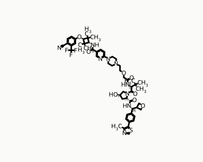 Cc1ncsc1-c1ccc([C@H](NC(=O)[C@@H]2C[C@@H](O)CN2C(=O)[C@@H](NC(=O)COCCN2CCN(c3ccc(C(=O)N[C@H]4C(C)(C)[C@H](Oc5ccc(C#N)c(C(F)(F)F)c5)C4(C)C)cn3)CC2)C(C)(C)C)C2COC2)cc1